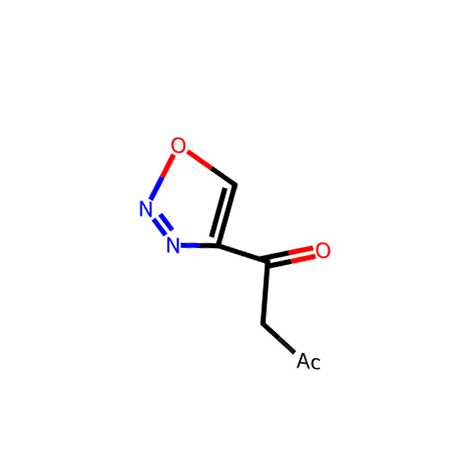 CC(=O)CC(=O)c1conn1